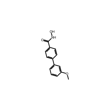 COc1cccc(-c2ccc(C(=O)NO)cc2)c1